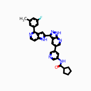 Cc1cc(F)cc(-c2nccc3[nH]c(-c4n[nH]c5ncc(-c6cncc(NC(=O)C7CCCC7)c6)cc45)cc23)c1